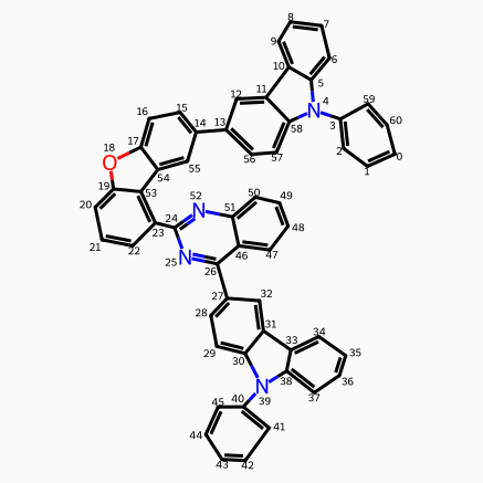 c1ccc(-n2c3ccccc3c3cc(-c4ccc5oc6cccc(-c7nc(-c8ccc9c(c8)c8ccccc8n9-c8ccccc8)c8ccccc8n7)c6c5c4)ccc32)cc1